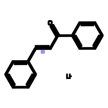 O=C(/C=C/c1ccccc1)c1ccccc1.[Li]